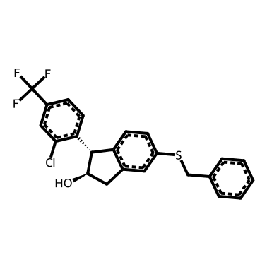 O[C@@H]1Cc2cc(SCc3ccccc3)ccc2[C@H]1c1ccc(C(F)(F)F)cc1Cl